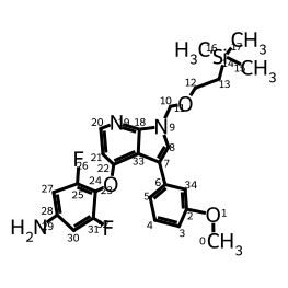 COc1cccc(-c2cn(COCC[Si](C)(C)C)c3nccc(Oc4c(F)cc(N)cc4F)c23)c1